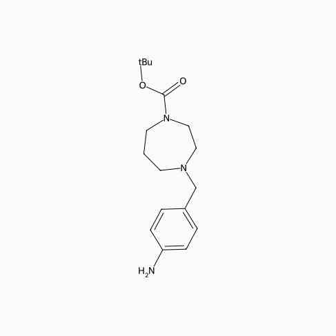 CC(C)(C)OC(=O)N1CCCN(Cc2ccc(N)cc2)CC1